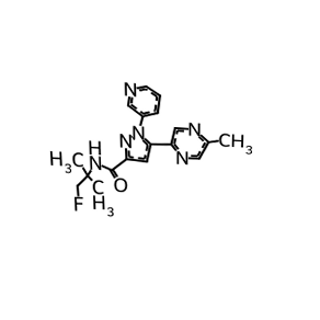 Cc1cnc(-c2cc(C(=O)NC(C)(C)CF)nn2-c2cccnc2)cn1